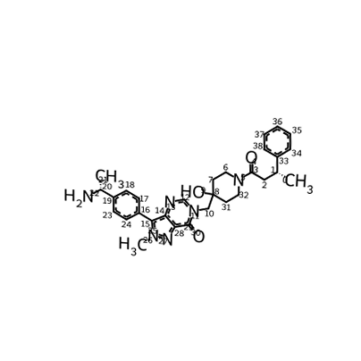 C[C@H](CC(=O)N1CCC(O)(Cn2cnc3c(-c4ccc([C@@H](C)N)cc4)n(C)nc3c2=O)CC1)c1ccccc1